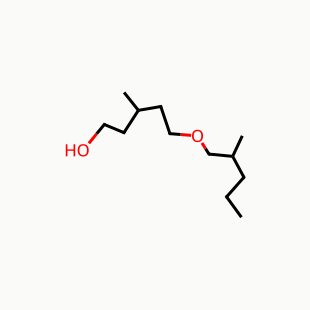 CCCC(C)COCCC(C)CCO